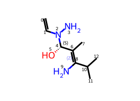 C=CN(N)[C@@H](O)/C(C)=C(\N)C(C)C